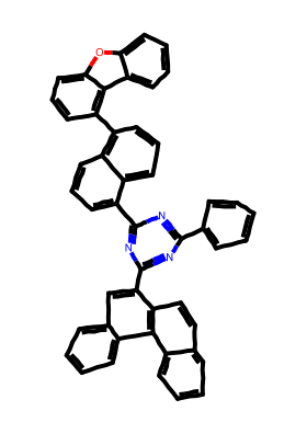 c1ccc(-c2nc(-c3cccc4c(-c5cccc6oc7ccccc7c56)cccc34)nc(-c3cc4ccccc4c4c3ccc3ccccc34)n2)cc1